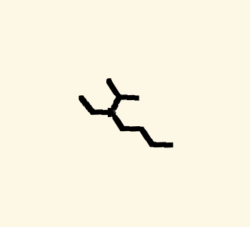 CCCCN(CC)C(C)C